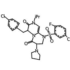 CC(C)N1C=C2N(C(=O)C(N3CCCC3)CN2S(=O)(=O)c2cc(Cl)ccc2F)C(Cc2ccc(Cl)cc2)C1=O